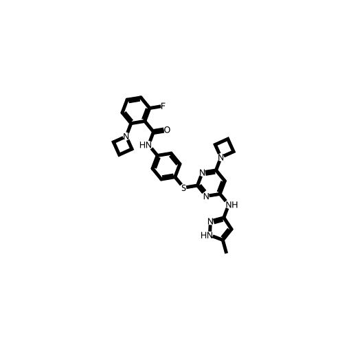 Cc1cc(Nc2cc(N3CCC3)nc(Sc3ccc(NC(=O)c4c(F)cccc4N4CCC4)cc3)n2)n[nH]1